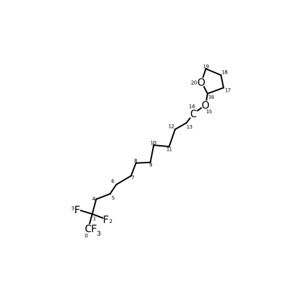 FC(F)(F)C(F)(F)CCCCCCCCCCCOC1CCCO1